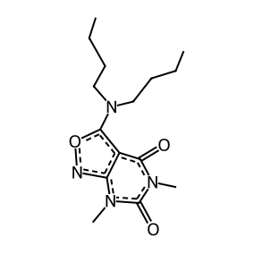 CCCCN(CCCC)c1onc2c1c(=O)n(C)c(=O)n2C